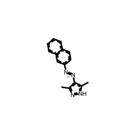 Cc1n[nH]c(C)c1/N=N/c1ccc2ccccc2c1